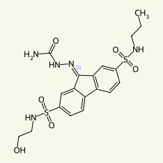 CCCNS(=O)(=O)c1ccc2c(c1)/C(=N/NC(N)=O)c1cc(S(=O)(=O)NCCO)ccc1-2